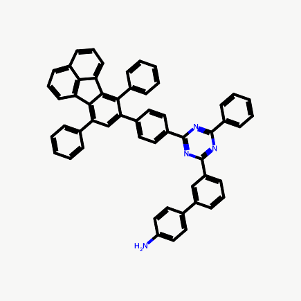 Nc1ccc(-c2cccc(-c3nc(-c4ccccc4)nc(-c4ccc(-c5cc(-c6ccccc6)c6c(c5-c5ccccc5)-c5cccc7cccc-6c57)cc4)n3)c2)cc1